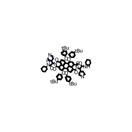 C=N/C=C\C(=C/C)C(C(=O)NC1CCCCC1)N1C(=O)c2cc(Oc3ccc(C(C)(C)C)cc3)c3c4c(Oc5ccc(C(C)(C)C)cc5)cc5c6c(cc(Oc7ccc(C(C)(C)C)cc7)c(c7c(Oc8ccc(C(C)(C)C)cc8)cc(c2c37)C1=O)c64)C(=O)N(C(C(=O)NC1CCCCC1)c1ccncc1)C5=O